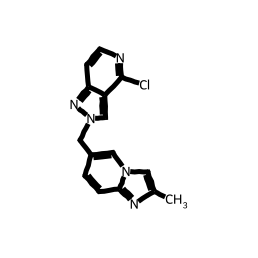 Cc1cn2cc(Cn3cc4c(Cl)nccc4n3)ccc2n1